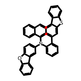 c1ccc(N(c2ccc3oc4ccccc4c3c2)c2cccc3ccccc23)c(-c2ccc3c(c2)sc2ccccc23)c1